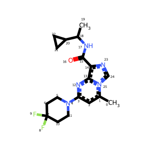 Cc1cc(N2CCC(F)(F)CC2)nc2c(C(=O)NC(C)C3CC3)ncn12